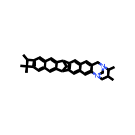 CC1CN2CN(Cc3cc4cc5c(cc4cc32)C2CC5c3cc4cc5c(cc4cc32)C(C)(C)C5C)C1C